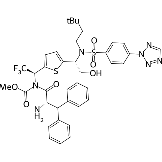 COC(=O)N(C(=O)[C@@H](N)C(c1ccccc1)c1ccccc1)[C@H](c1ccc([C@@H](CO)N(CCC(C)(C)C)S(=O)(=O)c2ccc(-n3ncnn3)cc2)s1)C(F)(F)F